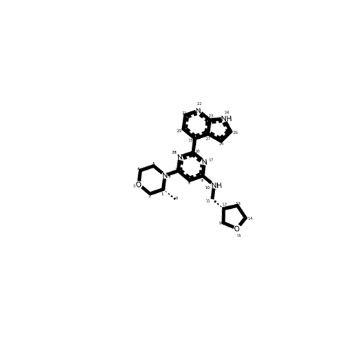 C[C@@H]1COCCN1c1cc(NC[C@@H]2CCOC2)nc(-c2ccnc3[nH]ccc23)n1